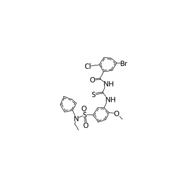 CCN(c1ccccc1)S(=O)(=O)c1ccc(OC)c(NC(=S)NC(=O)c2cc(Br)ccc2Cl)c1